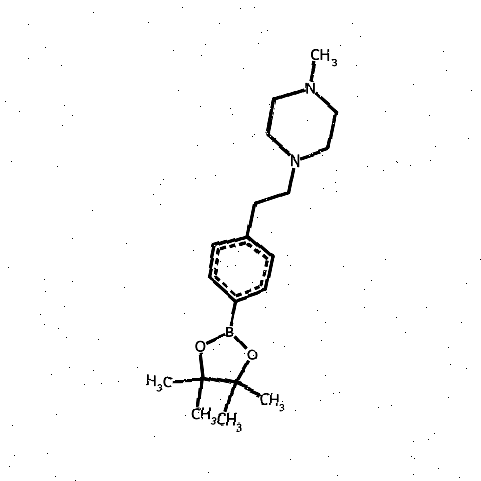 CN1CCN(CCc2ccc(B3OC(C)(C)C(C)(C)O3)cc2)CC1